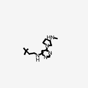 CN[C@H]1CCN(c2cc(NCCC(C)(C)C)ncn2)C1